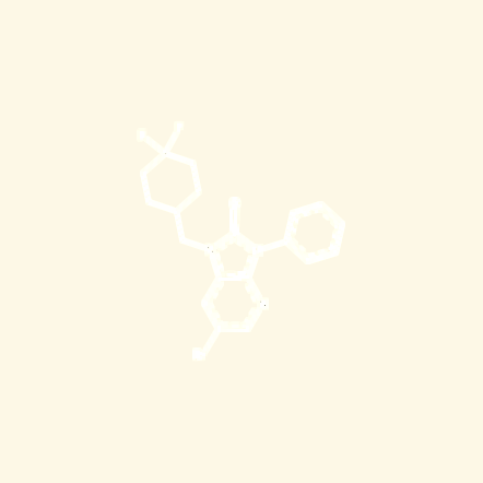 O=c1n(CC2CCC(F)(F)CC2)c2cc(Br)cnc2n1-c1ccccc1